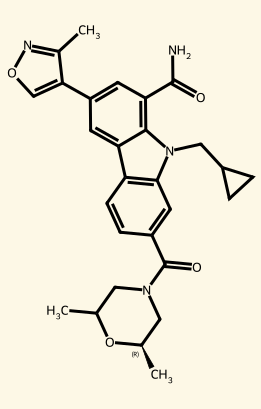 Cc1nocc1-c1cc(C(N)=O)c2c(c1)c1ccc(C(=O)N3CC(C)O[C@H](C)C3)cc1n2CC1CC1